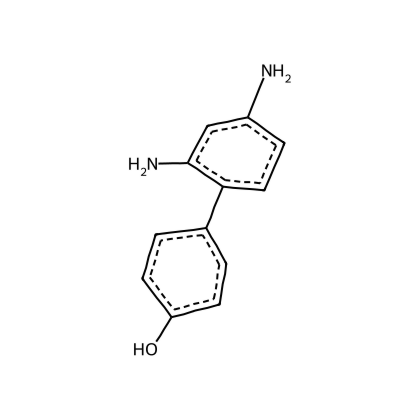 Nc1ccc(-c2ccc(O)cc2)c(N)c1